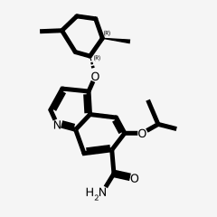 CC1CC[C@@H](C)[C@H](Oc2ccnc3cc(C(N)=O)c(OC(C)C)cc23)C1